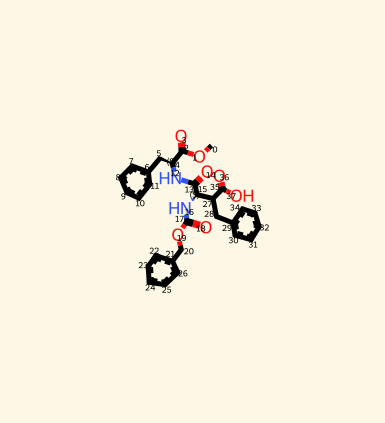 COC(=O)[C@H](Cc1ccccc1)NC(=O)[C@@H](NC(=O)OCc1ccccc1)C(Cc1ccccc1)C(=O)O